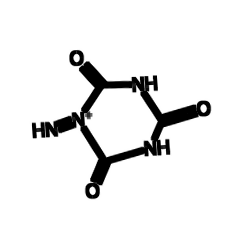 N=[N+]1C(=O)NC(=O)NC1=O